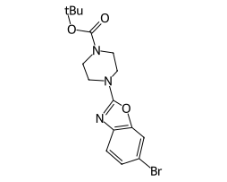 CC(C)(C)OC(=O)N1CCN(c2nc3ccc(Br)cc3o2)CC1